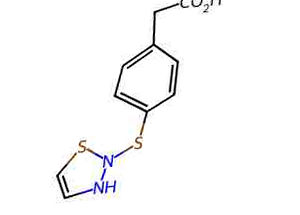 O=C(O)Cc1ccc(SN2NC=CS2)cc1